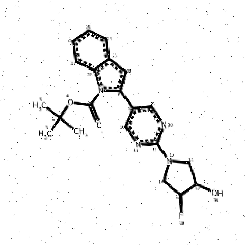 CC(C)(C)OC(=O)n1c(-c2cnc(N3CC(O)C(F)C3)nc2)cc2ccccc21